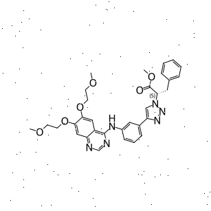 COCCOc1cc2ncnc(Nc3cccc(-c4cn([C@@H](Cc5ccccc5)C(=O)OC)nn4)c3)c2cc1OCCOC